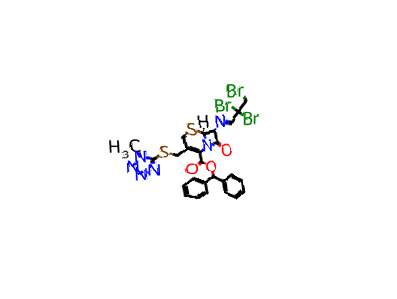 Cn1nnnc1SCC1=C(C(=O)OC(c2ccccc2)c2ccccc2)N2C(=O)[C@@H](N=CC(Br)(Br)CBr)[C@@H]2SC1